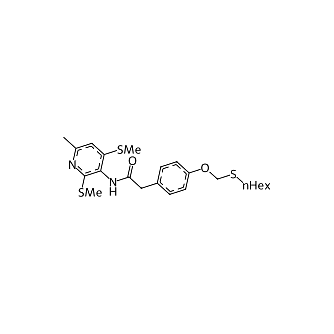 CCCCCCSCOc1ccc(CC(=O)Nc2c(SC)cc(C)nc2SC)cc1